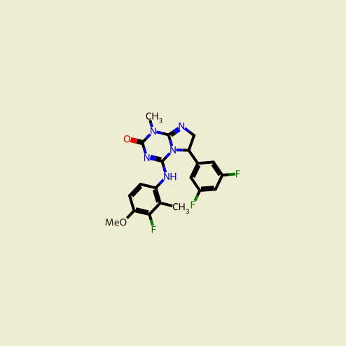 COc1ccc(NC2=NC(=O)N(C)C3=NCC(c4cc(F)cc(F)c4)N23)c(C)c1F